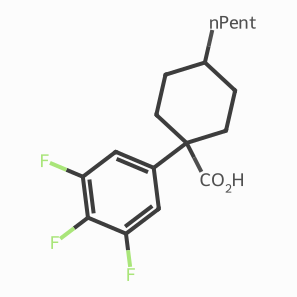 CCCCCC1CCC(C(=O)O)(c2cc(F)c(F)c(F)c2)CC1